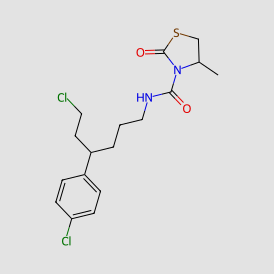 CC1CSC(=O)N1C(=O)NCCCC(CCCl)c1ccc(Cl)cc1